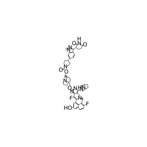 C#Cc1c(F)ccc2cc(O)cc(-c3ncc4c(N5CC6CCC(C5)N6)nc(OCC56CCCN5[C@@H](COC(=O)N5CCC(c7ccc8c(C9CCC(=O)NC9=O)nn(C)c8c7)CC5)CC6)nc4c3F)c12